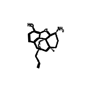 C=CCN1CC[C@]23c4c5ccc(O)c4OC2[C@H](N)CC[C@@]3(C)C1C5